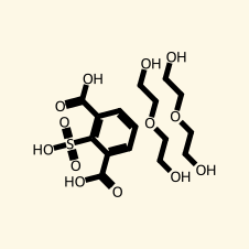 O=C(O)c1cccc(C(=O)O)c1S(=O)(=O)O.OCCOCCO.OCCOCCO